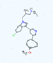 COc1ccc(-c2cncc(-c3cn(CC(C)CN(C)C)c4ccc(Cl)cc34)c2)cc1